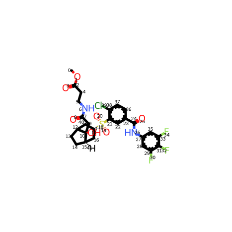 COC(=O)CCNC(=O)C[C@]1(O)C2CC[C@@H]1C[C@@H](S(=O)(=O)c1cc(C(=O)Nc3cc(F)c(F)c(F)c3)ccc1Cl)C2